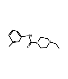 CCN1CCN(C(=O)Nc2cccc(C)c2)CC1